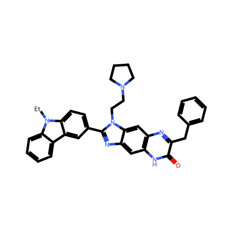 CCn1c2ccccc2c2cc(-c3nc4cc5[nH]c(=O)c(Cc6ccccc6)nc5cc4n3CCN3CCCC3)ccc21